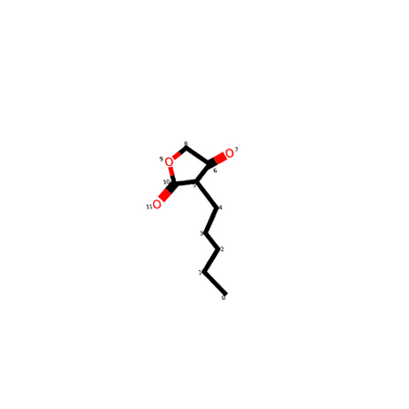 CCCCCC1C(=O)COC1=O